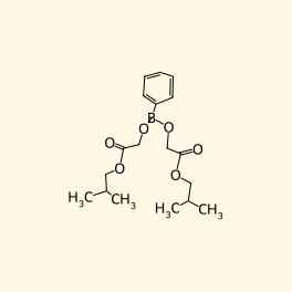 CC(C)COC(=O)COB(OCC(=O)OCC(C)C)c1ccccc1